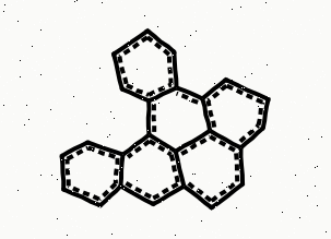 c1ccc2c(c1)cc1ccc3cccc4c5ccccc5c2c1c34